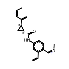 C=Cc1cc(NC(=O)[C@@H]2C[C@H]2C(=C)/C=C\C)ccc1/C=N\C